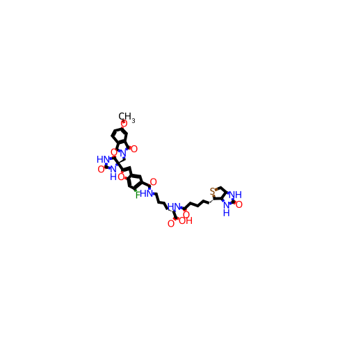 COc1ccc2c(c1)C(=O)N(C[C@@]1(c3cc4cc(C(=O)NCCCC[C@H](NC(=O)CCCC[C@@H]5SCC6NC(=O)NC65)C(=O)O)c(F)cc4o3)NC(=O)NC1=O)C2